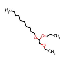 CCCCCCCCCCO[C](COCC)OCCC